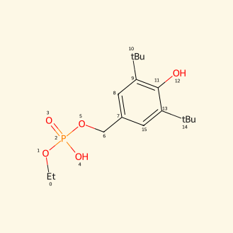 CCOP(=O)(O)OCc1cc(C(C)(C)C)c(O)c(C(C)(C)C)c1